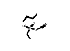 CCCC.CCP(=O)(O)OC#N